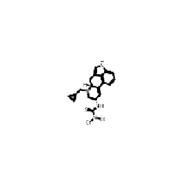 CCN(CC)C(=S)N[C@H]1C=C2c3cccc4[nH]cc(c34)C[C@H]2N(CC2CC2)C1